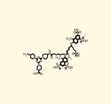 C\C(=C/C=C/C(CCCS(=O)(=O)O)=N/c1ccc2c(S(=O)(=O)O)cc(S(=O)(=O)O)cc2c1C)N(CCCCCC(=O)NC1CCN(c2nc(N3CCC(N)CC3)nc(N3CCC(C(=O)O)CC3)n2)CC1)c1ccc2c(S(=O)(=O)O)cc(S(=O)(=O)O)cc2c1C